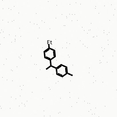 CCc1ccc(C(C)c2ccc(C)cc2)cc1